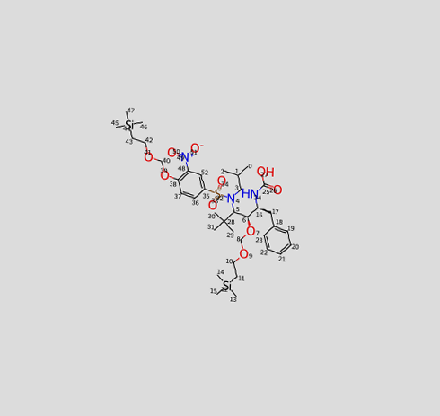 CC(C)CN(C([C@H](OCOCC[Si](C)(C)C)[C@H](Cc1ccccc1)NC(=O)O)C(C)(C)C)S(=O)(=O)c1ccc(OCOCC[Si](C)(C)C)c([N+](=O)[O-])c1